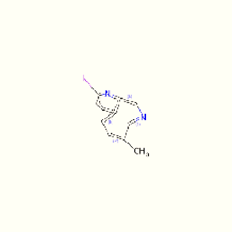 CC1=C/C=c2\ccc(I)n\c2=C\N=C\1